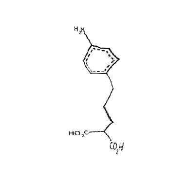 Nc1ccc(CCCC(C(=O)O)C(=O)O)cc1